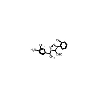 Cc1cc(C(C)N2N=NN(c3ccccc3Cl)C2C=O)ccc1N